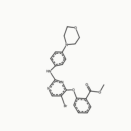 COC(=O)c1ccccc1Oc1nc(Nc2ccc(N3CCOCC3)cc2)ncc1Br